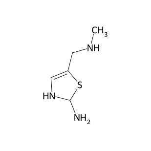 CNCC1=CNC(N)S1